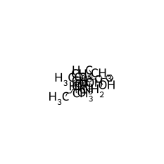 CCCCC(C)(C)C(=O)NC(N)[C@@H](O)[C@H](C[C@@H](Cc1ccc(-c2ccccc2)c(O)c1)C(C)C)C(=O)OC(C)(C)C